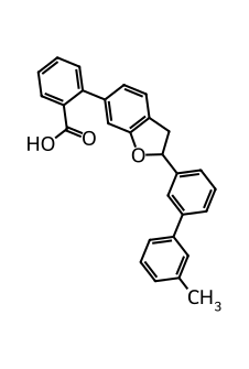 Cc1cccc(-c2cccc(C3Cc4ccc(-c5ccccc5C(=O)O)cc4O3)c2)c1